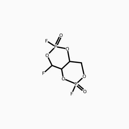 O=P1(F)OC(F)C2OP(=O)(F)OCC2O1